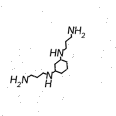 NCCCNC1CCCC(NCCCN)C1